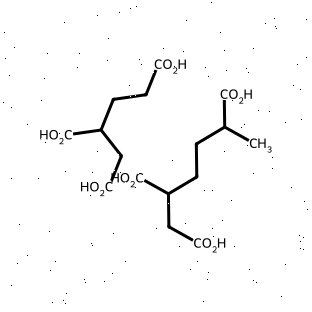 CC(CCC(CC(=O)O)C(=O)O)C(=O)O.O=C(O)CCC(CC(=O)O)C(=O)O